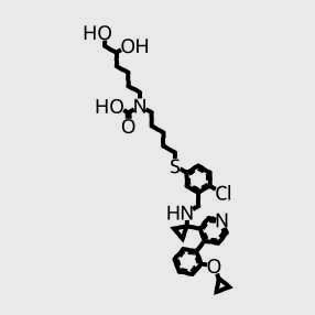 O=C(O)N(CCCCCSc1ccc(Cl)c(CNC2(c3cnccc3-c3ccccc3OC3CC3)CC2)c1)CCCCC(O)CO